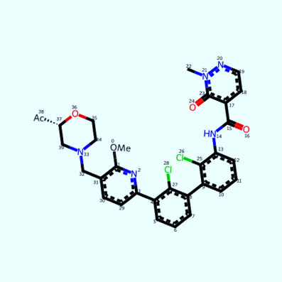 COc1nc(-c2cccc(-c3cccc(NC(=O)c4ccnn(C)c4=O)c3Cl)c2Cl)ccc1CN1CCO[C@@H](C(C)=O)C1